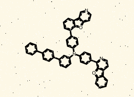 c1ccc(-c2ccc(-c3cccc(N(c4ccc(-c5cccc6c5oc5ccncc56)cc4)c4ccc(-c5nccc6c5oc5ccccc56)cc4)c3)cc2)cc1